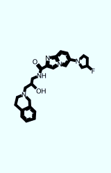 O=C(NCC(O)CN1CCc2ccccc2C1)c1cn2cc(N3CCC(F)C3)ccc2n1